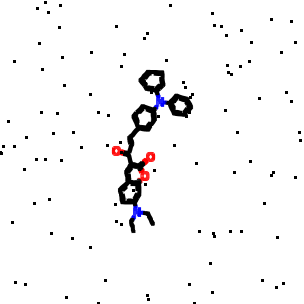 CCN(CC)c1ccc2cc(C(=O)/C=C/c3ccc(N(c4ccccc4)c4ccccc4)cc3)c(=O)oc2c1